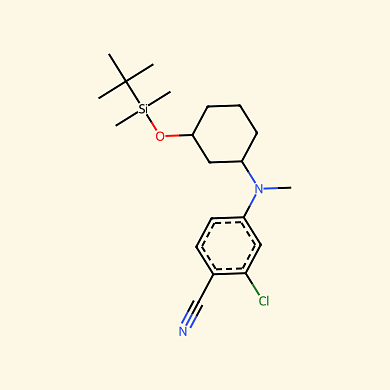 CN(c1ccc(C#N)c(Cl)c1)C1CCCC(O[Si](C)(C)C(C)(C)C)C1